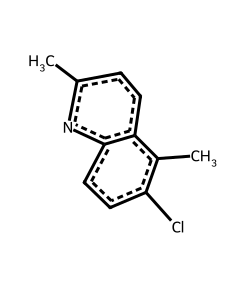 Cc1ccc2c(C)c(Cl)ccc2n1